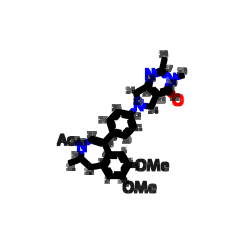 COc1cc2c(cc1OC)C(c1ccc(N3Cc4nc(C)n(C)c(=O)c4C3)cc1)=CN(C(C)=O)C(C)C2